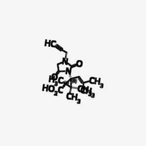 C#CCN1CC(=O)N([C@]2(C=C(C)C)C(C)(C)[C@@]2(C)C(=O)O)C1=O